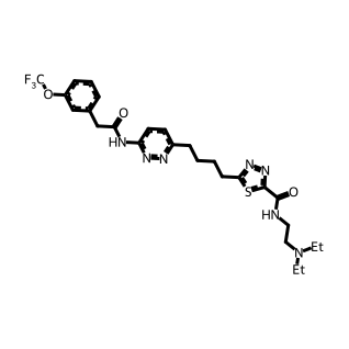 CCN(CC)CCNC(=O)c1nnc(CCCCc2ccc(NC(=O)Cc3cccc(OC(F)(F)F)c3)nn2)s1